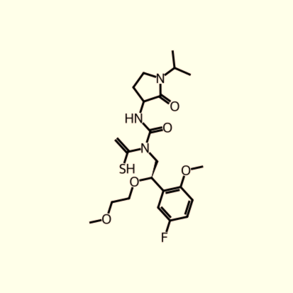 C=C(S)N(C[C@H](OCCOC)c1cc(F)ccc1OC)C(=O)NC1CCN(C(C)C)C1=O